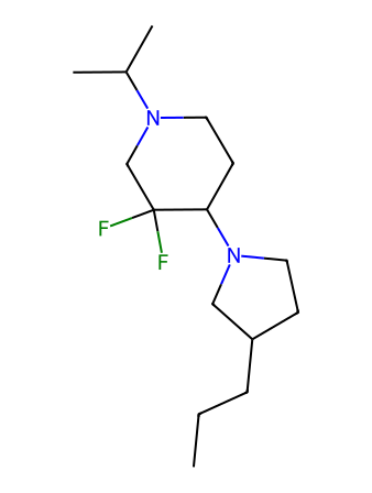 CCCC1CCN(C2CCN(C(C)C)CC2(F)F)C1